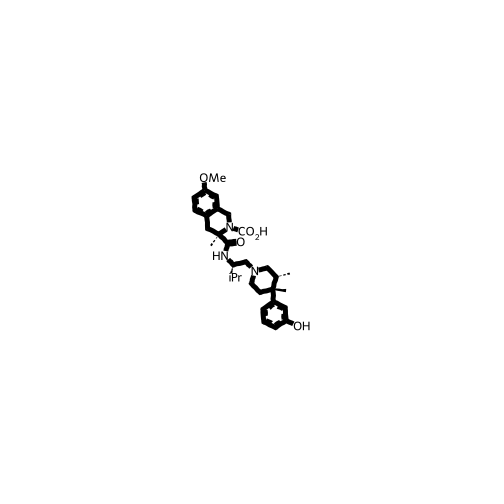 COc1ccc2c(c1)CN(C(=O)O)[C@@](C)(C(=O)N[C@H](CN1CC[C@@](C)(c3cccc(O)c3)[C@@H](C)C1)C(C)C)C2